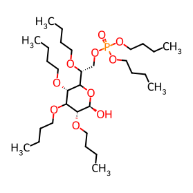 CCCCOC1[C@H](OCCCC)C([C@@H](COP(=O)(OCCCC)OCCCC)OCCCC)O[C@@H](O)[C@@H]1OCCCC